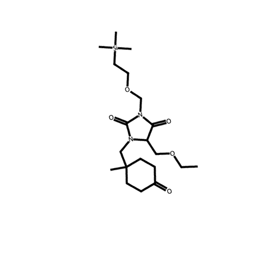 CCOCC1C(=O)N(COCC[Si](C)(C)C)C(=O)N1CC1(C)CCC(=O)CC1